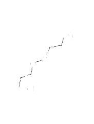 CCCCCCCCCCOPCCCCCCCCCC